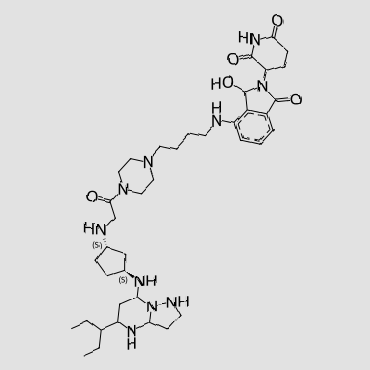 CCC(CC)C1CC(N[C@H]2CC[C@H](NCC(=O)N3CCN(CCCCNc4cccc5c4C(O)N(C4CCC(=O)NC4=O)C5=O)CC3)C2)N2NCCC2N1